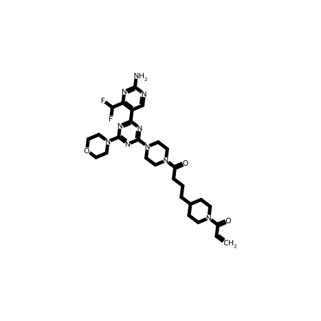 C=CC(=O)N1CCC(CCCC(=O)N2CCN(c3nc(-c4cnc(N)nc4C(F)F)nc(N4CCOCC4)n3)CC2)CC1